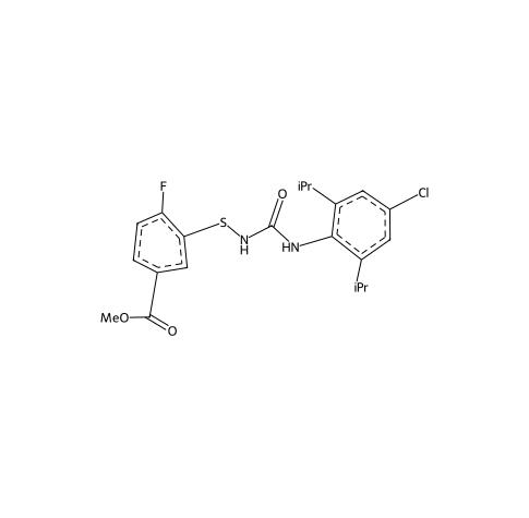 COC(=O)c1ccc(F)c(SNC(=O)Nc2c(C(C)C)cc(Cl)cc2C(C)C)c1